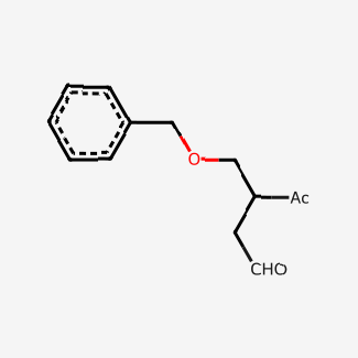 CC(=O)C(CC=O)COCc1ccccc1